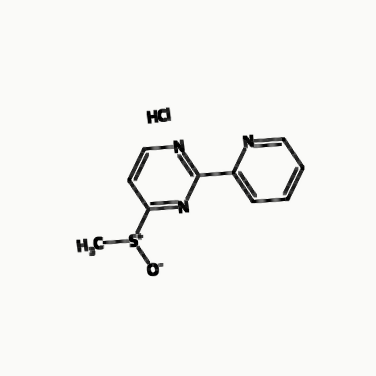 C[S+]([O-])c1ccnc(-c2ccccn2)n1.Cl